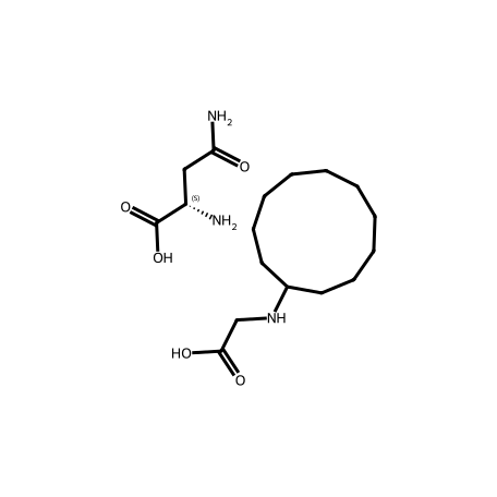 NC(=O)C[C@H](N)C(=O)O.O=C(O)CNC1CCCCCCCCCC1